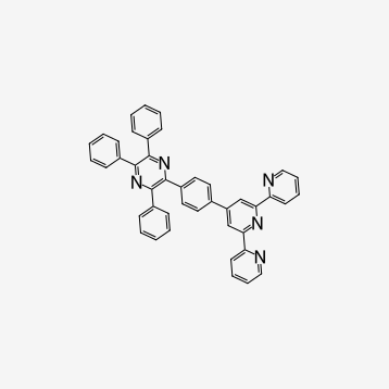 c1ccc(-c2nc(-c3ccccc3)c(-c3ccc(-c4cc(-c5ccccn5)nc(-c5ccccn5)c4)cc3)nc2-c2ccccc2)cc1